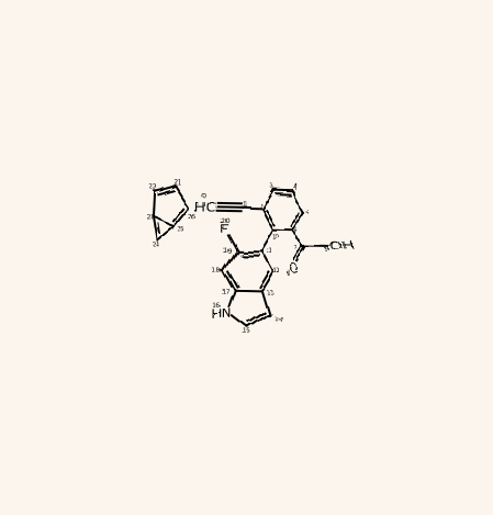 C#Cc1cccc(C(=O)O)c1-c1cc2cc[nH]c2cc1F.c1cc2cc-2c1